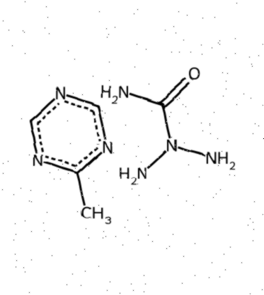 Cc1ncncn1.NC(=O)N(N)N